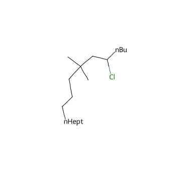 CCCCCCCCCCC(C)(C)CC(Cl)CCCC